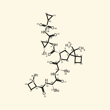 CC[C@@H]1C[C@]1(NC(=O)[C@@H]1C[C@@]2(CN1C(=O)[C@@H](NC(=O)[C@@H](NC(=O)[C@H]1CCN1C(C)C)C(C)(C)C)C(C)(C)C)C(C)(C)C21CCC1)C(=O)NS(=O)(=O)C1CC1